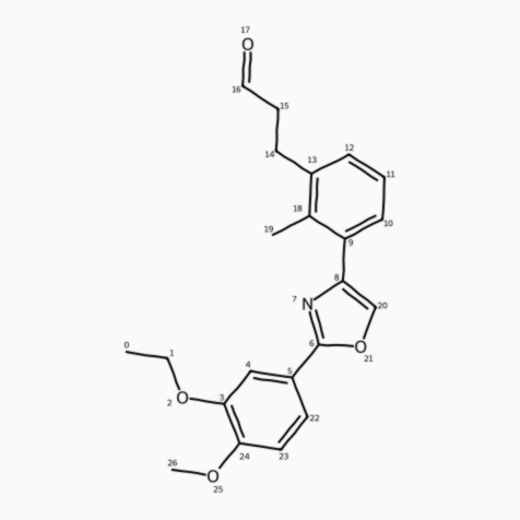 CCOc1cc(-c2nc(-c3cccc(CCC=O)c3C)co2)ccc1OC